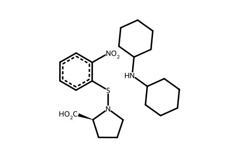 C1CCC(NC2CCCCC2)CC1.O=C(O)[C@@H]1CCCN1Sc1ccccc1[N+](=O)[O-]